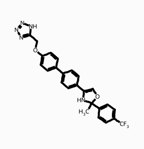 CC1(c2ccc(C(F)(F)F)cc2)NC(c2ccc(-c3ccc(OCc4nnn[nH]4)cc3)cc2)=CO1